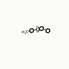 Cc1ccc(-c2nc3cc(-c4ccccc4)ccc3o2)cc1